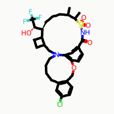 CC1CCC[C@H]([C@H](O)C(F)(F)F)C2CCC2CN2CCCCc3cc(Cl)ccc3COc3ccc(cc32)C(=O)NS(=O)(=O)C1C